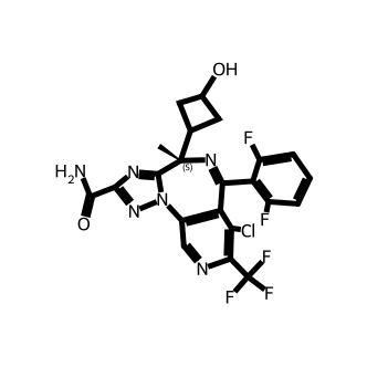 C[C@@]1(C2CC(O)C2)N=C(c2c(F)cccc2F)c2c(cnc(C(F)(F)F)c2Cl)-n2nc(C(N)=O)nc21